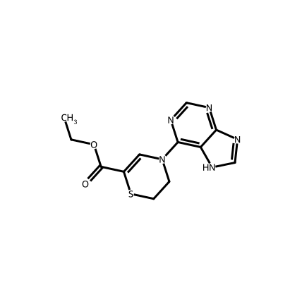 CCOC(=O)C1=CN(c2ncnc3nc[nH]c23)CCS1